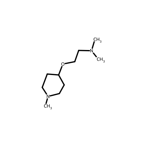 CN(C)CCOC1CCN(C)CC1